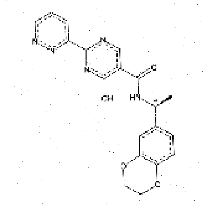 C[C@H](NC(=O)c1cnc(-c2cccnn2)nc1O)c1ccc2c(c1)OCCO2